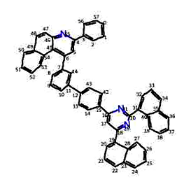 c1ccc(-c2cc(-c3cccc(-c4ccc(-c5cc(-c6cccc7ccccc67)nc(-c6cccc7ccccc67)n5)cc4)c3)c3c(ccc4ccccc43)n2)cc1